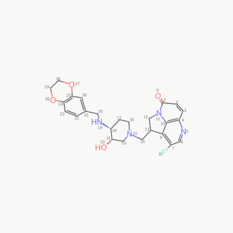 O=c1ccc2ncc(F)c3c2n1CC3CN1CC[C@H](NCc2ccc3c(c2)OCCO3)[C@H](O)C1